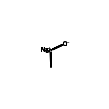 C[Se][O-].[Na+]